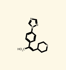 O=C(O)/C(=C/C1CCSCC1)c1ccc(-n2cncn2)cc1